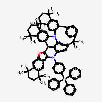 CC1(C)CCC(C)(C)c2cc3c(cc21)B1c2oc4cc5c(cc4c2N(c2ccc([Si](c4ccccc4)(c4ccccc4)c4ccccc4)cc2)c2cc4cc(c21)N3c1cc2c(cc1-c1ccc(cc1)C4(C)C)C(C)(C)CCC2(C)C)C(C)(C)CCC5(C)C